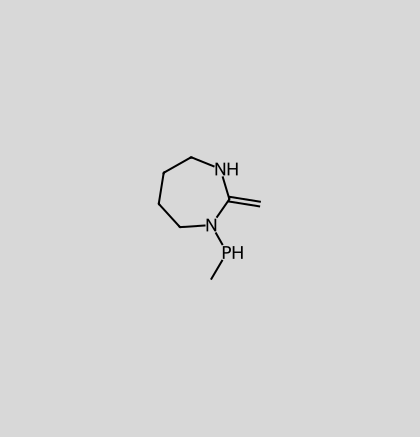 C=C1NCCCCN1PC